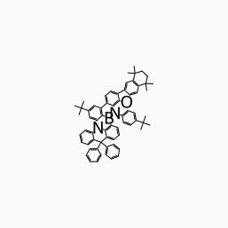 CC(C)(C)c1ccc(N2B3c4cccc5c4N(c4ccccc4C5(c4ccccc4)c4ccccc4)c4cc(C(C)(C)C)cc(c43)-c3ccc4c(oc5cc6c(cc54)C(C)(C)CCC6(C)C)c32)cc1